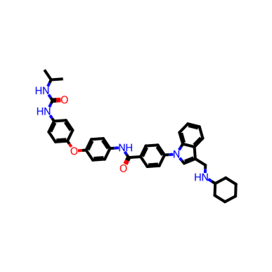 CC(C)NC(=O)Nc1ccc(Oc2ccc(NC(=O)c3ccc(-n4cc(CNC5CCCCC5)c5ccccc54)cc3)cc2)cc1